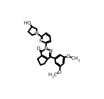 COc1cc(OC)cc(-c2nn(-c3cccc(N4CCC(O)C4)n3)c(=O)c3c2CCC3)c1